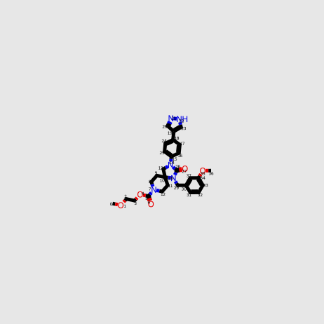 COCCOC(=O)N1CCC2(CC1)CN(c1ccc(-c3cn[nH]c3)cc1)C(=O)N2Cc1cccc(OC)c1